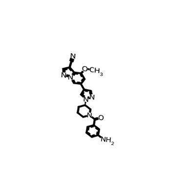 COc1cc(-c2cnn([C@@H]3CCCN(C(=O)c4cccc(N)c4)C3)c2)cn2ncc(C#N)c12